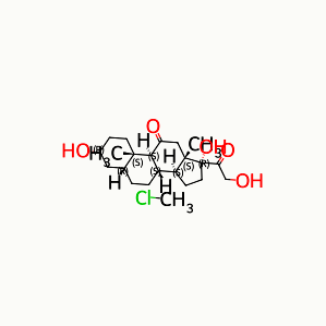 CCl.C[C@]12CC[C@@H](O)C[C@H]1CC[C@@H]1[C@@H]2C(=O)C[C@@]2(C)[C@H]1CC[C@]2(O)C(=O)CO